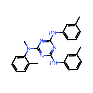 Cc1cccc(Nc2nc(Nc3cccc(C)c3)nc(N(C)c3ccccc3C)n2)c1